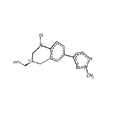 CCN1C[C@H](CO)Cc2cc(-c3cnn(C)c3)ccc21